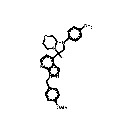 COc1ccc(Cn2ncc3c(C(F)(CNc4ccc(N)cc4)N4CCOCC4)ccnc32)cc1